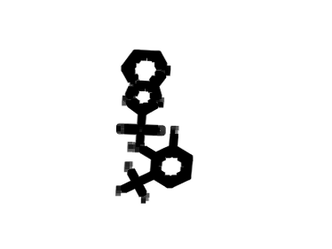 O=S(=O)(Nc1c(F)cccc1C(F)(F)F)c1nc2ncccn2n1